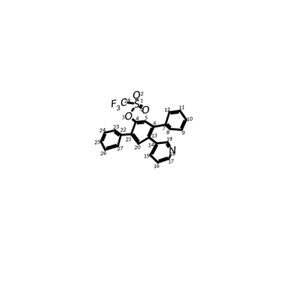 O=S(=O)(Oc1cc(-c2ccccc2)c(-c2cccnc2)cc1-c1ccccc1)C(F)(F)F